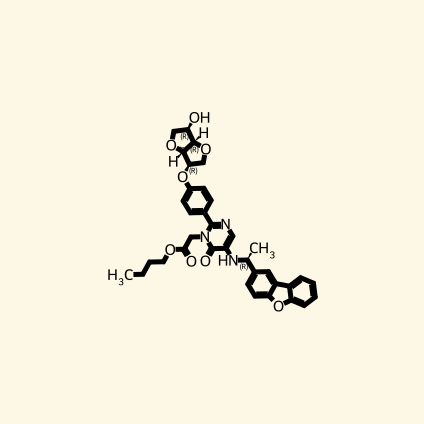 CCCCOC(=O)Cn1c(-c2ccc(O[C@@H]3CO[C@H]4[C@@H]3OC[C@H]4O)cc2)ncc(N[C@H](C)c2ccc3oc4ccccc4c3c2)c1=O